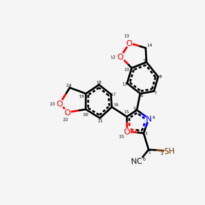 N#CC(S)c1nc(-c2ccc3c(c2)OOC3)c(-c2ccc3c(c2)OOC3)o1